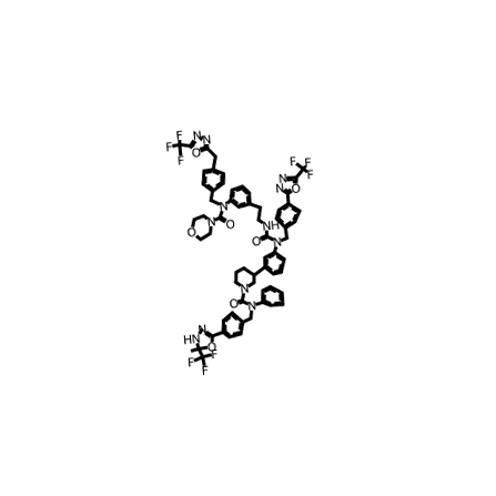 CC1(C(F)(F)F)NN=C(c2ccc(CN(C(=O)N3CCCC(c4cccc(N(Cc5ccc(-c6nnc(C(F)(F)F)o6)cc5)C(=O)NCCc5cccc(N(Cc6ccc(Cc7nnc(C(F)(F)F)o7)cc6)C(=O)N6CCOCC6)c5)c4)C3)c3ccccc3)cc2)O1